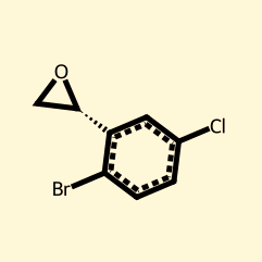 Clc1ccc(Br)c([C@@H]2CO2)c1